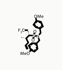 C=CC[C@H](C)[C@H](CC(F)(F)F)S(=O)(=O)N(Cc1ccc(OC)cc1)Cc1ccc(OC)cc1